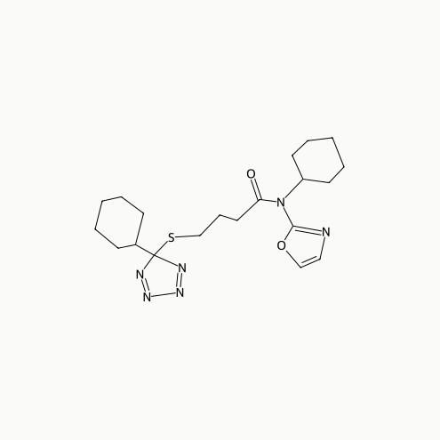 O=C(CCCSC1(C2CCCCC2)N=NN=N1)N(c1ncco1)C1CCCCC1